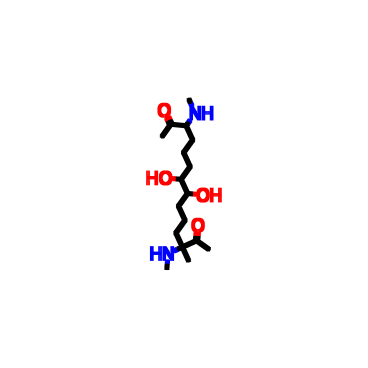 CNC(CCCC(O)C(O)CCCC(C)(NC)C(C)=O)C(C)=O